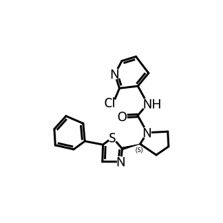 O=C(Nc1cccnc1Cl)N1CCC[C@H]1c1ncc(-c2ccccc2)s1